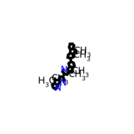 CC1(C)c2ccccc2-c2ccc(-c3ccc4c(c3)-c3ncc(-c5cnc6c(c5)C(C)(C)c5cccnc5-6)cc3C4(C)C)cc21